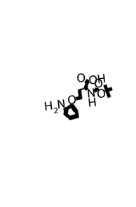 CC(C)(C)OC(=O)N[C@@H](CCOc1ccccc1N)C(=O)O